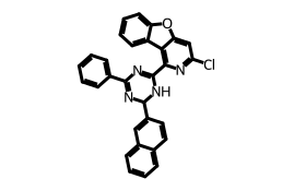 Clc1cc2oc3ccccc3c2c(C2=NC(c3ccccc3)=NC(c3ccc4ccccc4c3)N2)n1